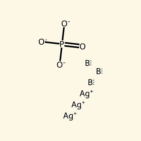 O=P([O-])([O-])[O-].[Ag+].[Ag+].[Ag+].[B].[B].[B]